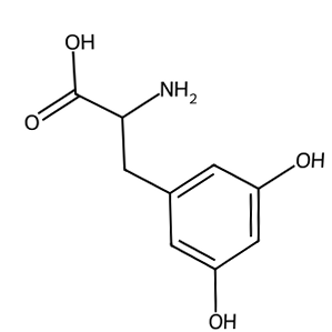 NC(Cc1cc(O)cc(O)c1)C(=O)O